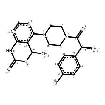 [CH2][C@H](C(=O)N1CCN(c2ncnc3c2C(C)OC(=O)N3)CC1)c1ccc(Cl)cc1